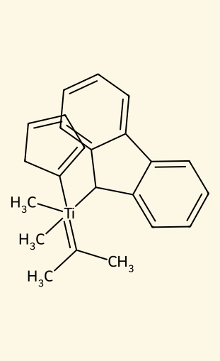 C[C](C)=[Ti]([CH3])([CH3])([C]1=CC=CC1)[CH]1c2ccccc2-c2ccccc21